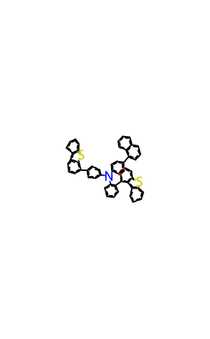 c1ccc(N(c2ccc(-c3cccc4ccccc34)cc2)c2ccc(-c3cccc4c3sc3ccccc34)cc2)c(-c2cccc3sc4ccccc4c23)c1